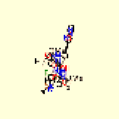 COC(=O)N[C@H](C(=O)N[C@@H](Cc1ccc(C#Cc2ccc(N3CC4CCC(C3)N4C3COC3)nc2)cc1)[C@@H](O)CN(Cc1c(F)cc(-c2nnc(C3CC3)s2)cc1F)NC(=O)[C@@H](NC(=O)OC)C(C)(C)C(F)(F)F)C(C)(C)C(F)(F)F